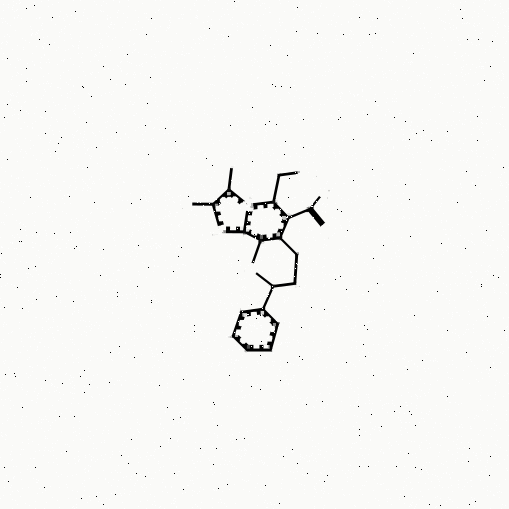 CCc1c(C(=O)O)c2c(c3nc(C)c(C)n13)OC(c1ccccc1)CC2